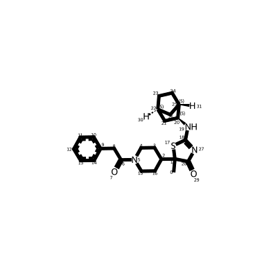 CC1(C2CCN(C(=O)Cc3ccccc3)CC2)SC(N[C@H]2C[C@H]3CC[C@H]2C3)=NC1=O